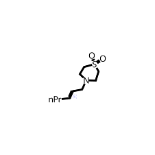 CCC/C=C/CN1CCS(=O)(=O)CC1